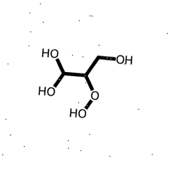 OCC(OO)C(O)O